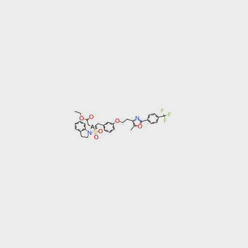 CCOC(=O)C[As](Cc1cccc(OCCc2nc(-c3ccc(C(F)(F)F)cc3)oc2C)c1)S(=O)(=O)N1CCc2ccccc21